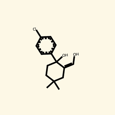 CC1(C)CCC(O)(c2ccc(Cl)cc2)/C(=C\O)C1